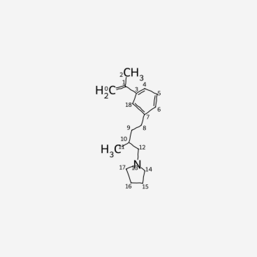 C=C(C)c1cccc(CCC(C)CN2CCCC2)c1